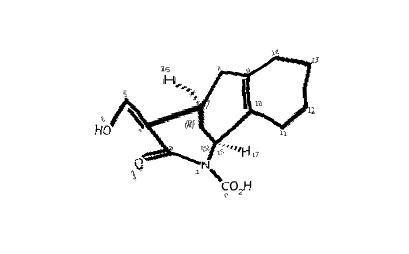 O=C(O)N1C(=O)C(=CO)[C@H]2CC3=C(CCCC3)[C@H]21